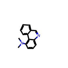 CN(C)c1cccc2ncc3ccccc3c12